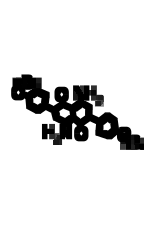 CCCCOc1ccc(C2=CC(N)=C3C(=O)C(c4ccc(OCCCC)cc4)=CC(N)=C3C2=O)cc1